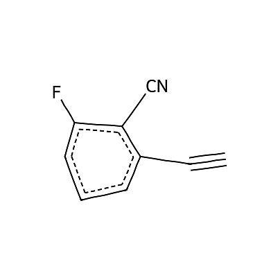 C#Cc1cccc(F)c1C#N